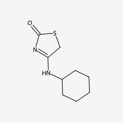 O=C1N=C(NC2CCCCC2)CS1